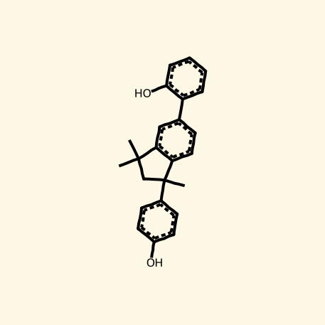 CC1(C)CC(C)(c2ccc(O)cc2)c2ccc(-c3ccccc3O)cc21